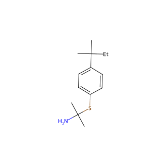 CCC(C)(C)c1ccc(SC(C)(C)N)cc1